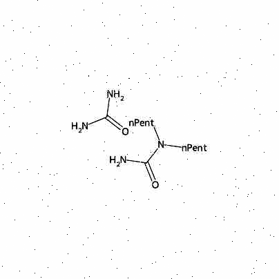 CCCCCN(CCCCC)C(N)=O.NC(N)=O